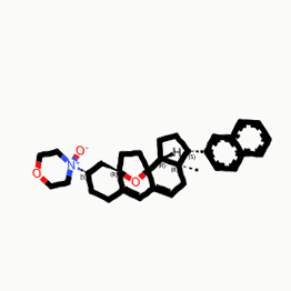 C[C@]12CC=C3C=C4CC[C@H]([N+]5([O-])CCOCC5)C[C@]45CCC3(O5)[C@@H]1CC[C@@H]2c1ccc2ccccc2c1